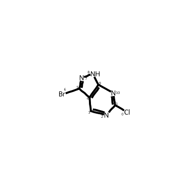 Clc1ncc2c(Br)n[nH]c2n1